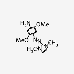 COc1cc(/N=N/C2N(C)C=CN2C)c(OC)cc1N